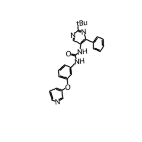 CC(C)(C)c1ncc(NC(=O)Nc2cccc(Oc3cccnc3)c2)c(-c2ccccc2)n1